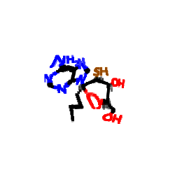 CCCC[C@@]1(n2cnc3c(N)ncnc32)O[C@H](CO)[C@@H](O)[C@H]1S